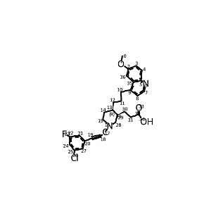 COc1ccc2nccc(CCC[C@@H]3CCN(CC#Cc4cc(F)cc(Cl)c4)C[C@@H]3CCC(=O)O)c2c1